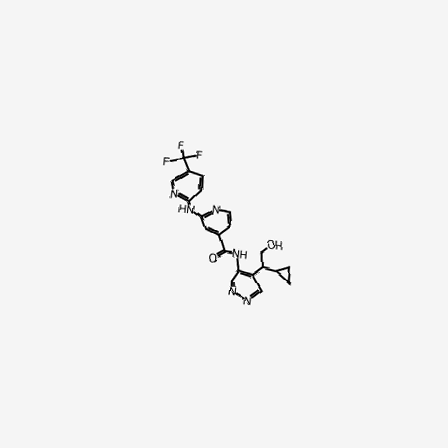 O=C(Nc1cnncc1C(CO)C1CC1)c1ccnc(Nc2ccc(C(F)(F)F)cn2)c1